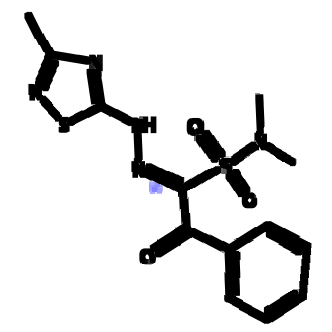 Cc1nsc(N/N=C(/C(=O)c2ccccc2)S(=O)(=O)N(C)C)n1